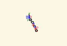 O=C(NCCF)Nc1ccc(C2CCC(=NOC3CCN(C(=O)Oc4ccccc4)CC3)CC2)cc1F